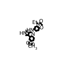 CCN1C(=O)COc2ccc(Nc3nc4ccc(S(C)(=O)=O)cc4c4c[nH]nc34)cc21